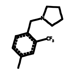 Cc1ccc(CN2CCCC2)c(C(F)(F)F)c1